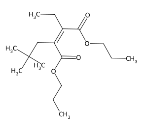 CCCOC(=O)C(CC)=C(CC(C)(C)C)C(=O)OCCC